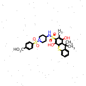 Cc1c(O)c2c(c(O)c1S(=O)(=O)NC1CCN(S(=O)(=O)c3ccc(C(=O)O)cc3)CC1)Sc1ccccc1C2(C)C